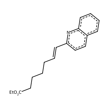 CCOC(=O)CCCC/C=C/c1ccc2ccccc2n1